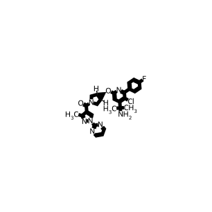 Cc1nn(-c2ncccn2)cc1C(=O)N1C[C@@H]2[C@H](C1)[C@H]2Oc1cc(C(C)(C)N)c(Cl)c(-c2ccc(F)cc2)n1